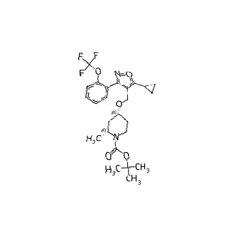 C[C@@H]1C[C@H](OCc2c(-c3ccccc3OC(F)(F)F)noc2C2CC2)CCN1C(=O)OC(C)(C)C